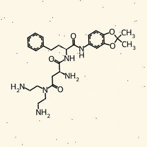 CC1(C)Oc2ccc(NC(=O)[C@H](CCc3ccccc3)NC(=O)[C@@H](N)CC(=O)N(CCN)CCN)cc2O1